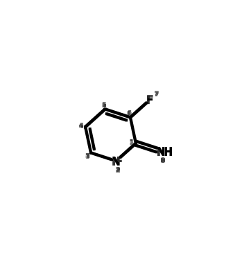 N=C1[N]C=CC=C1F